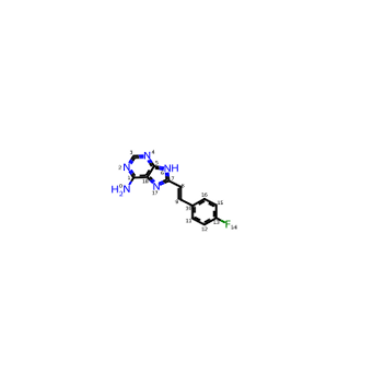 Nc1ncnc2[nH]c(C=Cc3ccc(F)cc3)nc12